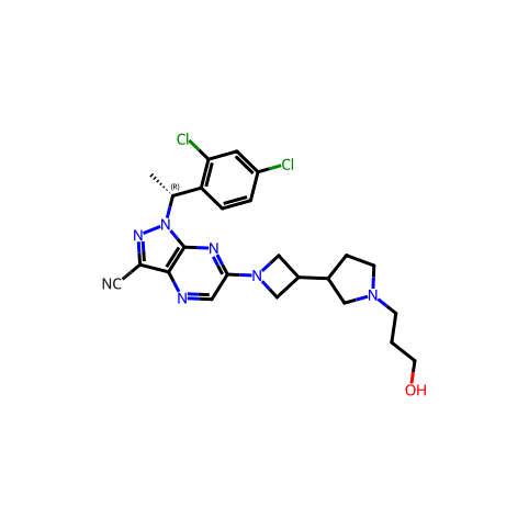 C[C@H](c1ccc(Cl)cc1Cl)n1nc(C#N)c2ncc(N3CC(C4CCN(CCCO)C4)C3)nc21